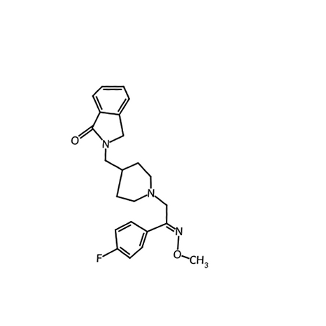 CO/N=C(/CN1CCC(CN2Cc3ccccc3C2=O)CC1)c1ccc(F)cc1